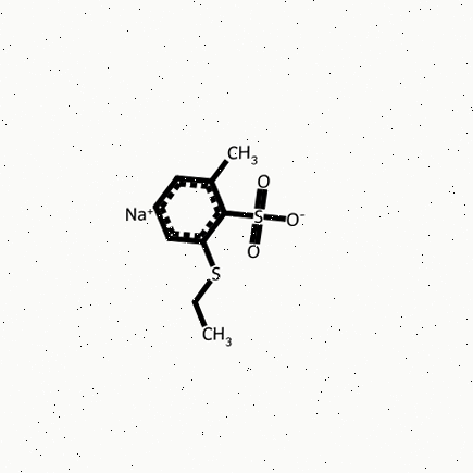 CCSc1cccc(C)c1S(=O)(=O)[O-].[Na+]